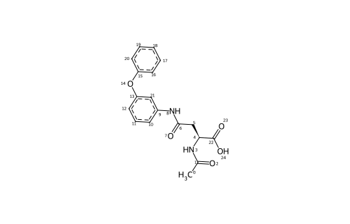 CC(=O)N[C@@H](CC(=O)Nc1cccc(Oc2ccccc2)c1)C(=O)O